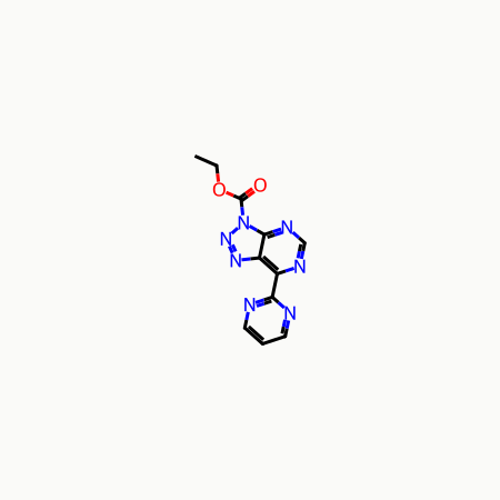 CCOC(=O)n1nnc2c(-c3ncccn3)ncnc21